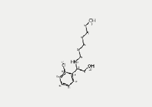 OCCCCCCNC(CO)c1ccccc1Cl